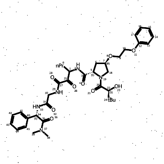 CCCC(NC(=O)[C@@H]1C[C@@H](OCCOc2ccccc2)CN1C(=O)[C@@H](O)C(C)(C)C)C(=O)C(=O)NCC(=O)N[C@H](C(=O)N(C)C)c1ccccc1